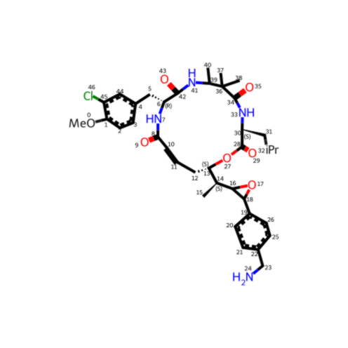 COc1ccc(C[C@H]2NC(=O)C=CC[C@@H]([C@H](C)C3OC3c3ccc(CN)cc3)OC(=O)[C@H](CC(C)C)NC(=O)C(C)(C)C(C)NC2=O)cc1Cl